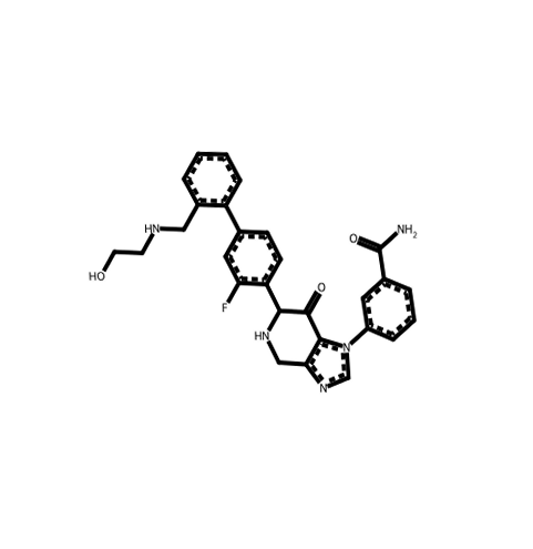 NC(=O)c1cccc(-n2cnc3c2C(=O)C(c2ccc(-c4ccccc4CNCCO)cc2F)NC3)c1